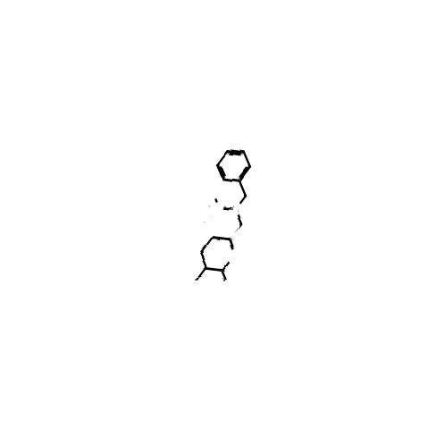 CC(C)(C)[S@+]([O-])N(Cc1ccccc1)C[C@@H]1CCC(I)C(O)O1